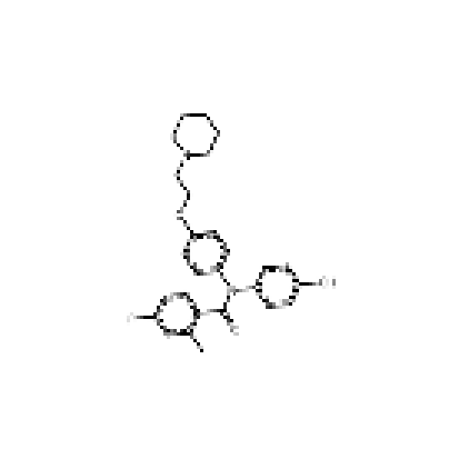 Cc1cc(F)ccc1C(=O)N(c1ccc(O)cc1)c1ccc(OCCN2CCCCC2)cc1